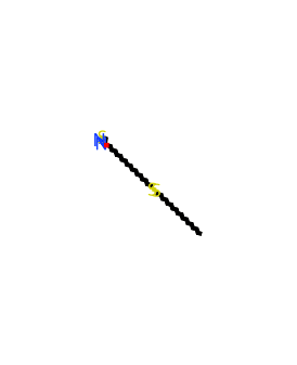 CCCCCCCCCCCCCCCCCCSSCCCCCCCCCCCCCCCCCC.c1csnn1